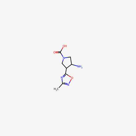 Cc1noc(C2CN(C(=O)O)CC2N)n1